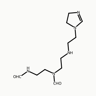 O=CNCCN(C=O)CCNCCN1C=NCC1